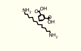 NCCCCCCCCCCCCN.O=C(O)c1cccc(C(=O)O)c1